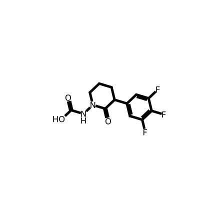 O=C(O)NN1CCCC(c2cc(F)c(F)c(F)c2)C1=O